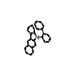 c1ccc(-c2ccccc2-n2c3ccccc3c3cc4ccccc4cc32)cc1